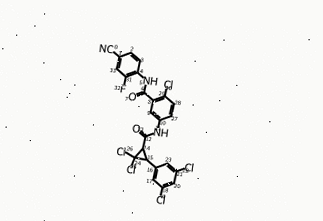 N#Cc1ccc(NC(=O)c2cc(NC(=O)C3C(c4cc(Cl)cc(Cl)c4)C3(Cl)Cl)ccc2Cl)c(F)c1